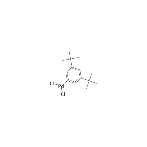 CC(C)(C)c1c[c]([Pd]([Cl])[Cl])cc(C(C)(C)C)c1